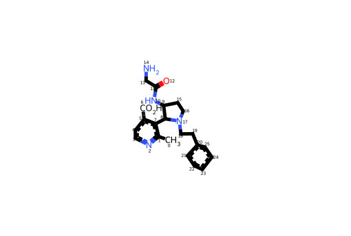 Cc1nccc(C(=O)O)c1C1C(NC(=O)CN)CCN1CCc1ccccc1